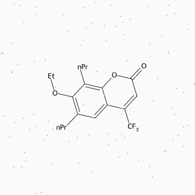 CCCc1cc2c(C(F)(F)F)cc(=O)oc2c(CCC)c1OCC